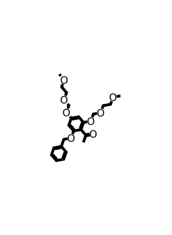 COCCOCOc1cc(OCOCCOC)c(C(C)=O)c(OCc2ccccc2)c1